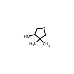 CC1(C)COC[C@@H]1O